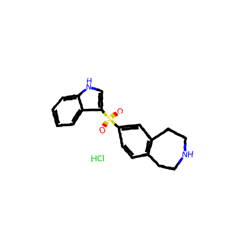 Cl.O=S(=O)(c1ccc2c(c1)CCNCC2)c1c[nH]c2ccccc12